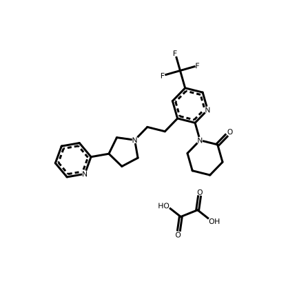 O=C(O)C(=O)O.O=C1CCCCN1c1ncc(C(F)(F)F)cc1CCN1CCC(c2ccccn2)C1